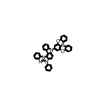 c1ccc(-n2c3ccc4c(c5ccccc5n4-c4cc5c6c(c4)Oc4ccccc4B6c4ccccc4O5)c3n3c4ccccc4nc23)cc1